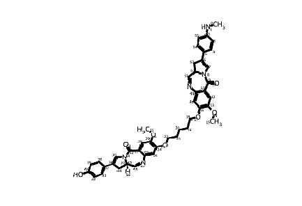 CNc1ccc(C2=CN3C(=O)c4cc(OC)c(OCCCCCOc5cc6c(cc5OC)C(=O)N5C=C(c7ccc(O)cc7)C[C@H]5C=N6)cc4N=CC3C2)cc1